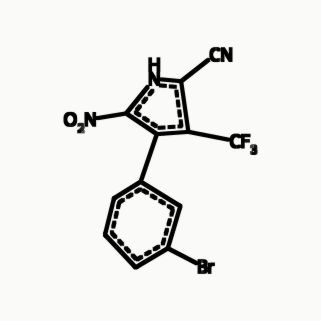 N#Cc1[nH]c([N+](=O)[O-])c(-c2cccc(Br)c2)c1C(F)(F)F